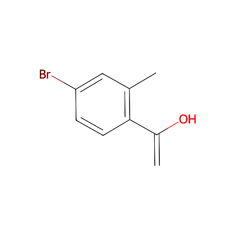 C=C(O)c1ccc(Br)cc1C